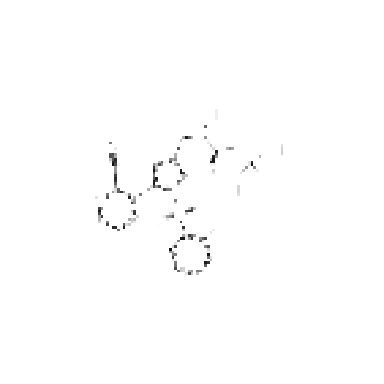 CN(Cc1cc(-c2cccnc2C#N)n(S(=O)(=O)c2ccccc2Cl)c1)C(=O)OC(C)(C)C